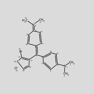 CN(C)c1ccc(C(=C2C=CC(=[N+](C)C)C=C2)c2ccsc2Br)cc1.[Cl-]